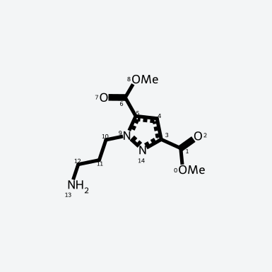 COC(=O)c1cc(C(=O)OC)n(CCCN)n1